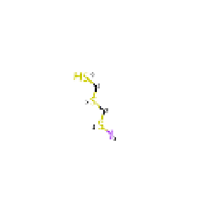 SCSCSI